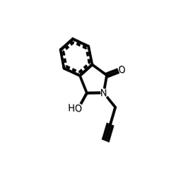 C#CCN1C(=O)c2ccccc2C1O